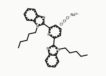 CCCCCn1c(-c2cccc(-c3nc4ccccc4n3CCCCC)n2)nc2ccccc21.[Cl-].[Cl-].[Cl-].[Nd+3]